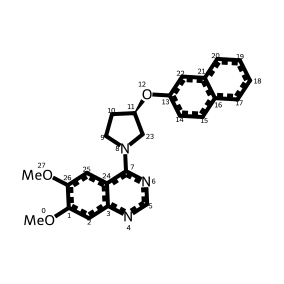 COc1cc2ncnc(N3CC[C@@H](Oc4ccc5ccccc5c4)C3)c2cc1OC